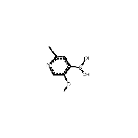 COc1cnc(C)cc1B(O)O